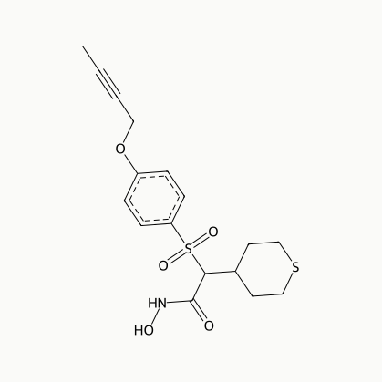 CC#CCOc1ccc(S(=O)(=O)C(C(=O)NO)C2CCSCC2)cc1